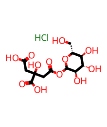 Cl.O=C(O)CC(O)(CC(=O)OC1O[C@H](CO)[C@@H](O)[C@H](O)[C@H]1O)C(=O)O